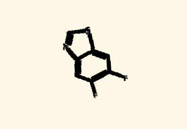 Fc1cc2n[c]sc2cc1F